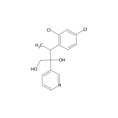 CC(c1ccc(Cl)cc1Cl)C(O)(CO)c1cccnc1